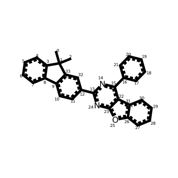 CC1(C)c2ccccc2-c2ccc(-c3nc(-c4ccccc4)c4c(n3)oc3ccccc34)cc21